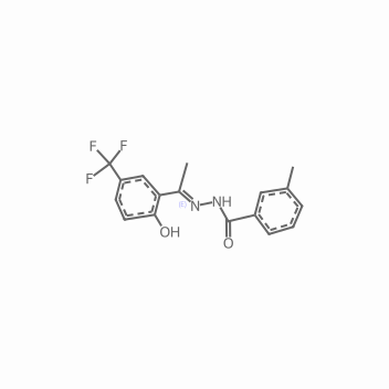 C/C(=N\NC(=O)c1cccc(C)c1)c1cc(C(F)(F)F)ccc1O